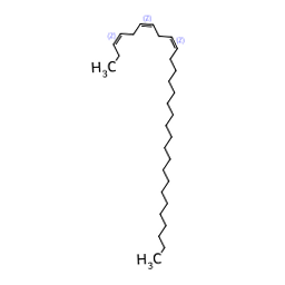 CC/C=C\C/C=C\C/C=C\CCCCCCCCCCCCCCCCCCC